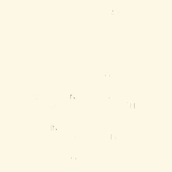 CC(=O)OCCCCn1c([S+](C)[O-])c(C(C)C)c(=O)[nH]c1=S